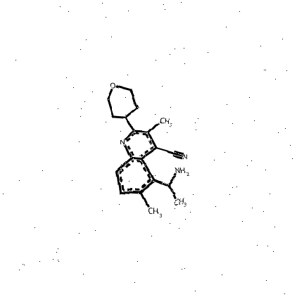 Cc1ccc2nc(C3CCOCC3)c(C)c(C#N)c2c1C(C)N